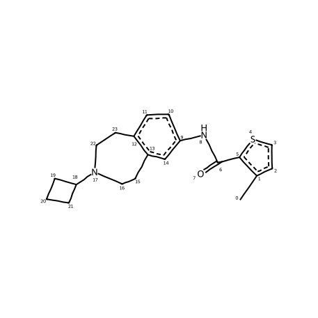 Cc1ccsc1C(=O)Nc1ccc2c(c1)CCN(C1CCC1)CC2